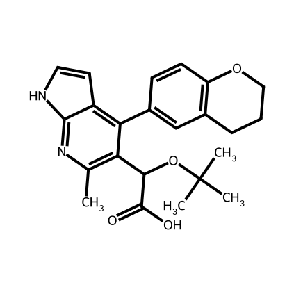 Cc1nc2[nH]ccc2c(-c2ccc3c(c2)CCCO3)c1C(OC(C)(C)C)C(=O)O